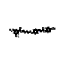 CCCCc1ccc(OC(=O)/C=C/c2ccc(OCCCCCOC(=O)c3cc(N)cc(N)c3)cc2)cc1